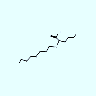 CCCCCCCCNC(CCCN)C(=O)O